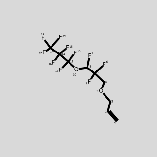 C=CCOCC(F)(F)C(F)OC(F)(F)C(F)(F)C(F)(F)F